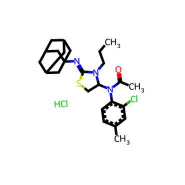 CCCN1C(=NC23CC4CC(CC(C4)C2)C3)SCC1N(C(C)=O)c1ccc(C)cc1Cl.Cl